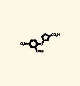 COc1cc([N+](=O)[O-])ccc1OC1CCN(C(=O)O)C1